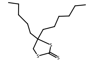 CCCCCCC1(CCCCC)CSC(=S)S1